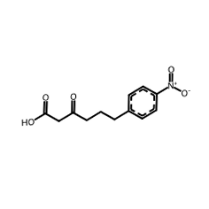 O=C(O)CC(=O)CCCc1ccc([N+](=O)[O-])cc1